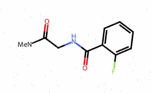 CNC(=O)CNC(=O)c1ccccc1F